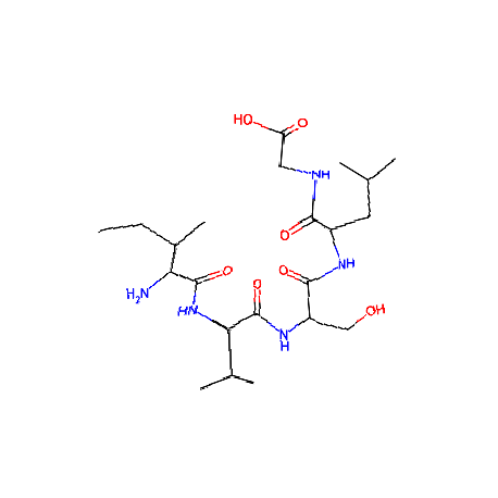 CCC(C)C(N)C(=O)NC(C(=O)NC(CO)C(=O)NC(CC(C)C)C(=O)NCC(=O)O)C(C)C